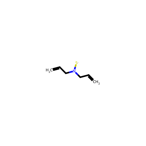 C=CCN([S])CC=C